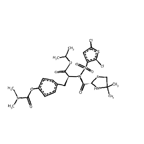 CC(C)OC(=O)[C@H](Cc1ccc(OC(=O)N(C)C)cc1)N(C(=O)[C@H]1NC(C)(C)CS1)S(=O)(=O)c1cc(Cl)sc1Cl